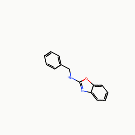 c1ccc(CNc2nc3ccccc3o2)cc1